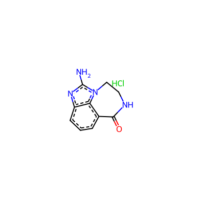 Cl.Nc1nc2cccc3c2n1CCNC3=O